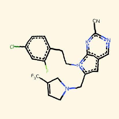 N#Cc1ncc2cc(CN3CC=C(C(F)(F)F)C3)n(CCc3ccc(Cl)cc3F)c2n1